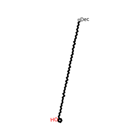 CCCCCCCCCCCCCCCCCCCCCCCCCCCCCCCCCCCCCCCCCCCCCCCCCCCCCCCCCCCCCCCCCCCCCCc1ccccc1O